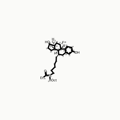 CCCCCCCCN(CCCCCC[C@@H]1Cc2cc(O)ccc2[C@@H]2[C@@H]1[C@@H]1CC[C@H](O)[C@@]1(C)C[C@@H]2F)C(=O)CC